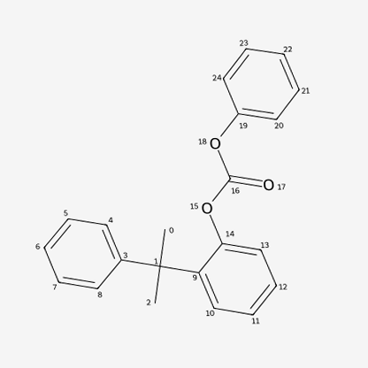 CC(C)(c1ccccc1)c1ccccc1OC(=O)Oc1ccccc1